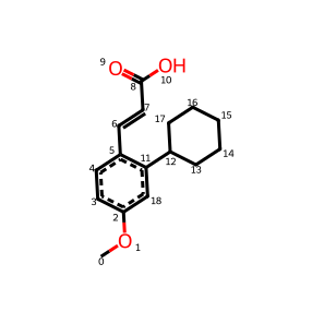 COc1ccc(/C=C/C(=O)O)c(C2CCCCC2)c1